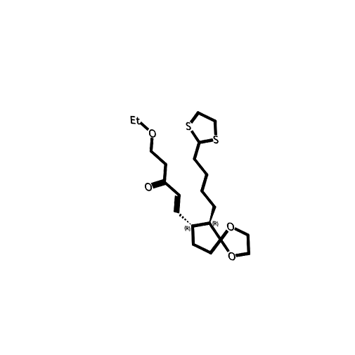 CCOCCC(=O)C=C[C@H]1CCC2(OCCO2)[C@@H]1CCCCC1SCCS1